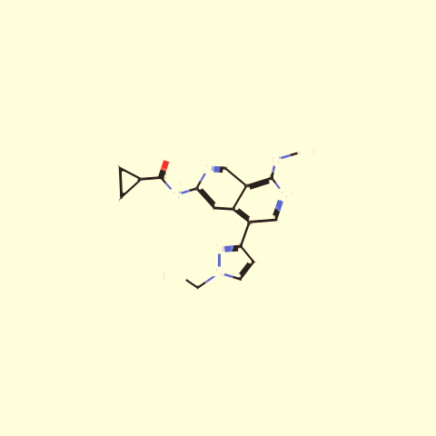 CCn1ccc(-c2cnc(NC)c3cnc(NC(=O)C4CC4)cc23)n1